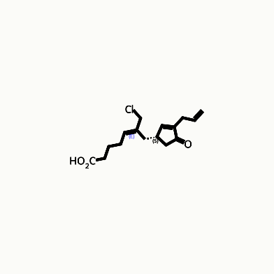 C=CCC1=C[C@@H](C/C(=C\CCCC(=O)O)CCl)CC1=O